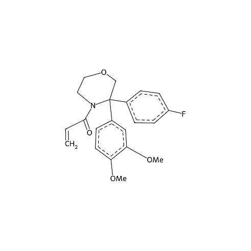 C=CC(=O)N1CCOCC1(c1ccc(F)cc1)c1ccc(OC)c(OC)c1